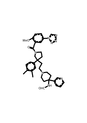 COc1ccc(-n2cnnn2)cc1C(=O)N1CCC(CCN2CCC(NC=O)(c3cccnc3)CC2)(c2ccc(C)c(C)c2)C1